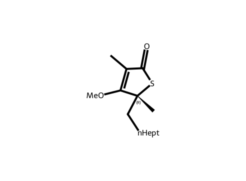 CCCCCCCC[C@@]1(C)SC(=O)C(C)=C1OC